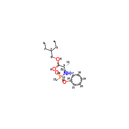 CCC(CC)COC(=O)[C@H](C)NP(C)(=O)Oc1ccccc1